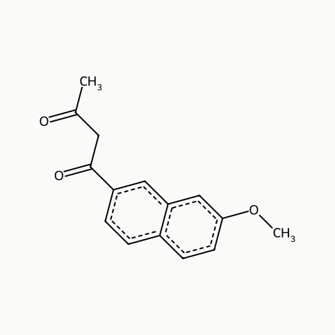 COc1ccc2ccc(C(=O)CC(C)=O)cc2c1